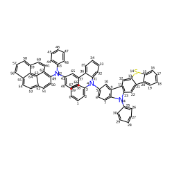 c1ccc(N(c2ccc3c(c2)c2cc4sc5ccccc5c4cc2n3-c2ccccc2)c2ccccc2-c2cccc(N(c3ccccc3)c3ccc4ccc5cccc6ccc3c4c56)c2)cc1